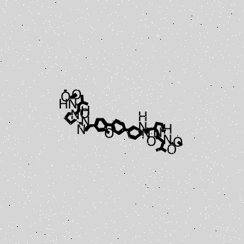 COC(=O)N[C@H](C(=O)N1CCCC1c1nc2ccc(-c3ccc4c(c3)oc3cc(-c5cnc([C@@H]6CCCN6C(=O)[C@@H](NC(=O)OC)C(C)C)[nH]5)ccc34)cc2[nH]1)C(C)C